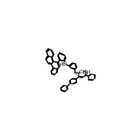 CN(Cc1cccc(Nc2ccccc2-c2cc3ccccc3c3ccc4ccccc4c23)c1)/C(=C\C(=N)c1ccccc1)c1ccc(-c2ccccc2)cc1